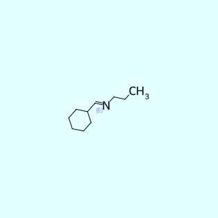 CCC/N=C/C1CCCCC1